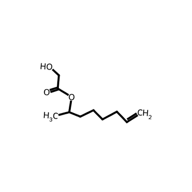 C=CCCCCC(C)OC(=O)CO